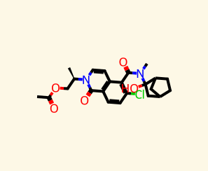 CC(=O)OC[C@@H](C)n1ccc2c(C(=O)N(C)C3(O)CC4CCC3C4)c(Cl)ccc2c1=O